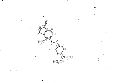 Cc1c(CCN2CCC(N(C(=O)O)C(C)(C)C)CC2)ccc2c1COC2=O